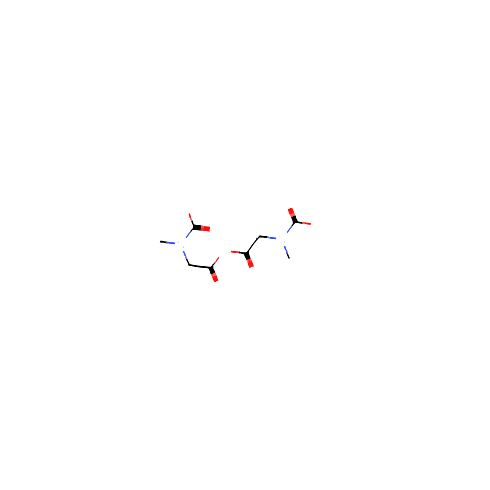 C[C@@H](C(=O)OC(=O)[C@H](C)N(C)C(=O)O)N(C)C(=O)O